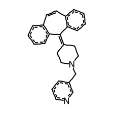 C1=Cc2ccccc2C(=C2CCN(Cc3cccnc3)CC2)c2ccccc21